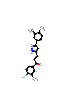 Cc1ccc(-c2cc(/C=C/C(=O)c3ccc(F)c(C)c3)[nH]n2)cc1C